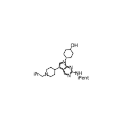 CCC[C@H](C)Nc1ncc2c(C3CCN(CC(C)C)CC3)cn(C3CCC(O)CC3)c2n1